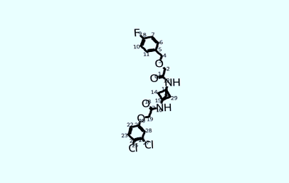 O=C(COCc1ccc(F)cc1)NC12CC(NC(=O)COc3ccc(Cl)c(Cl)c3)(C1)C2